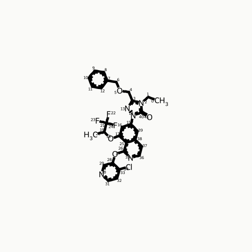 CCn1c(COCc2ccccc2)nn(-c2cc(OC(C)C(F)(F)F)c3c(Oc4cnccc4Cl)nccc3c2)c1=O